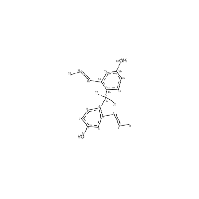 CC=Cc1cc(O)ccc1C(C)(C)c1ccc(O)cc1C=CC